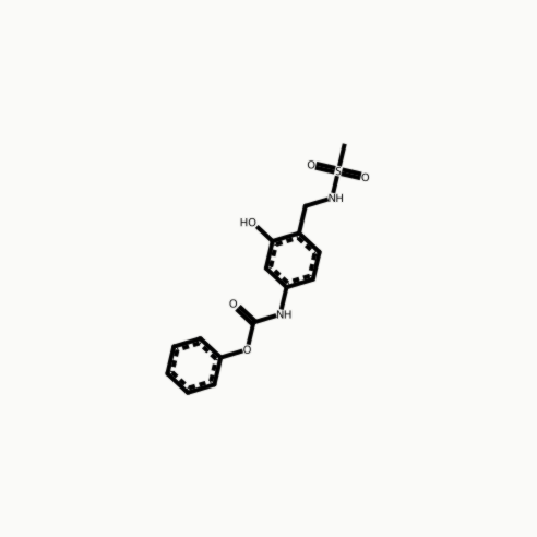 CS(=O)(=O)NCc1ccc(NC(=O)Oc2ccccc2)cc1O